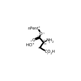 CCCCCOC(=O)[C@@H](N)CC(=O)O.Cl